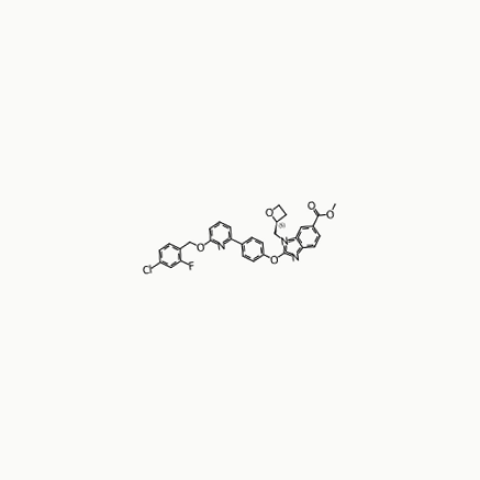 COC(=O)c1ccc2nc(Oc3ccc(-c4cccc(OCc5ccc(Cl)cc5F)n4)cc3)n(C[C@@H]3CCO3)c2c1